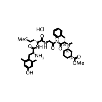 COC(=O)[C@H]1CCC[C@@H](N(C)[C@@H](Cc2ccccc2)C(=O)NC(=O)CNC(=O)[C@@H](CCSC)NC(=O)[C@H](N)Cc2c(C)cc(O)cc2C)C1.Cl